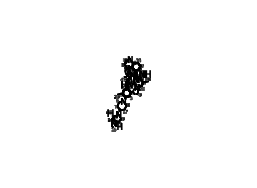 COc1cc(N2CCC(N3C[C@H]4C[C@@H]3CN4C)CC2)c(C)cc1Nc1ncc(C)c(Nc2ccc3nccnc3c2NS(C)(=O)=O)n1